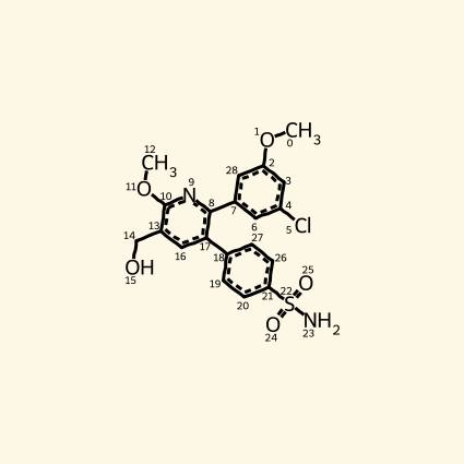 COc1cc(Cl)cc(-c2nc(OC)c(CO)cc2-c2ccc(S(N)(=O)=O)cc2)c1